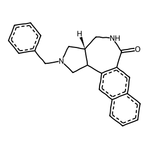 O=C1NC[C@H]2CN(Cc3ccccc3)CC2c2cc3ccccc3cc21